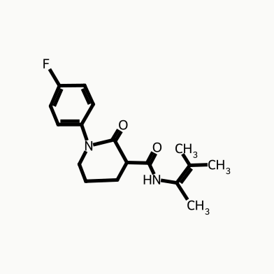 CC(C)=C(C)NC(=O)C1CCCN(c2ccc(F)cc2)C1=O